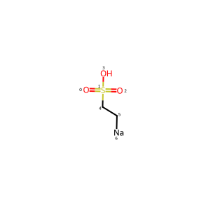 O=S(=O)(O)C[CH2][Na]